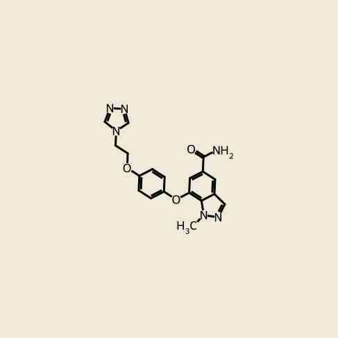 Cn1ncc2cc(C(N)=O)cc(Oc3ccc(OCCn4cnnc4)cc3)c21